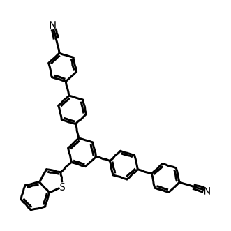 N#Cc1ccc(-c2ccc(-c3cc(-c4ccc(-c5ccc(C#N)cc5)cc4)cc(-c4cc5ccccc5s4)c3)cc2)cc1